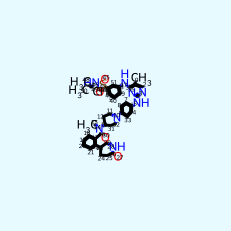 Cc1cnc(Nc2ccc(N3CCC(N(C)Cc4ccccc4C4CCC(=O)NC4=O)CC3)cc2)nc1Nc1cccc(S(=O)(=O)NC(C)(C)C)c1